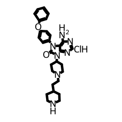 Cl.Nc1ncnc2c1n(-c1ccc(Oc3ccccc3)cc1)c(=O)n2C1CCN(CCC2CCNCC2)CC1